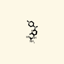 Cc1nc(N(C)C2CCN(C)CC2)ccc1NC(=N)N